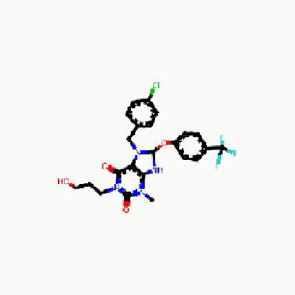 Cn1c2c(c(=O)n(CCCO)c1=O)N(Cc1ccc(Cl)cc1)C(Oc1ccc(C(F)(F)F)cc1)N2